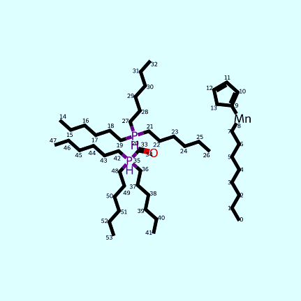 CCCCCCC[CH2][Mn][C]1=CC=CC1.CCCCCC[PH](CCCCCC)(CCCCCC)C(=O)[PH](CCCCCC)(CCCCCC)CCCCCC